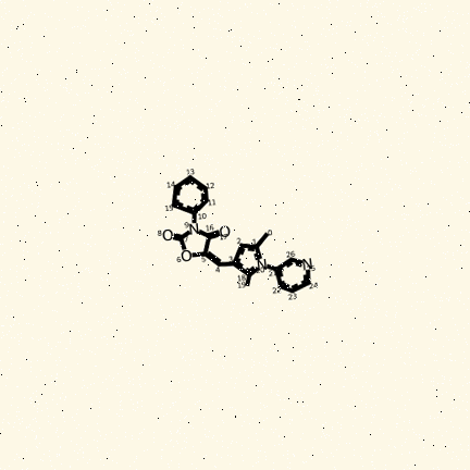 Cc1cc(/C=C2/OC(=O)N(c3ccccc3)C2=O)c(C)n1-c1cccnc1